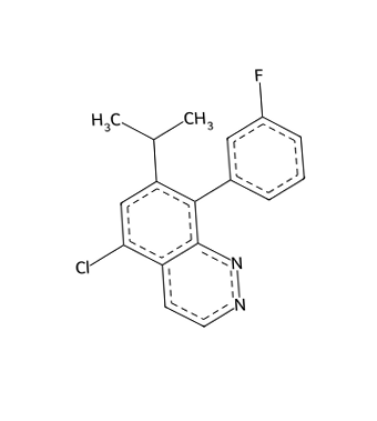 CC(C)c1cc(Cl)c2ccnnc2c1-c1cccc(F)c1